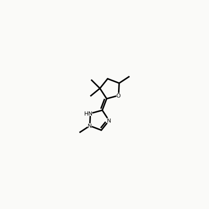 CC1CC(C)(C)C(=C2N=CN(C)N2)O1